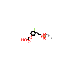 CS(=O)(=O)OCCCc1cc(OCC(=O)O)ccc1F